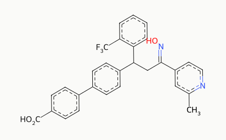 Cc1cc(/C(CC(c2ccc(-c3ccc(C(=O)O)cc3)cc2)c2ccccc2C(F)(F)F)=N/O)ccn1